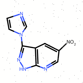 O=[N+]([O-])c1cnc2[nH]nc(-n3ccnc3)c2c1